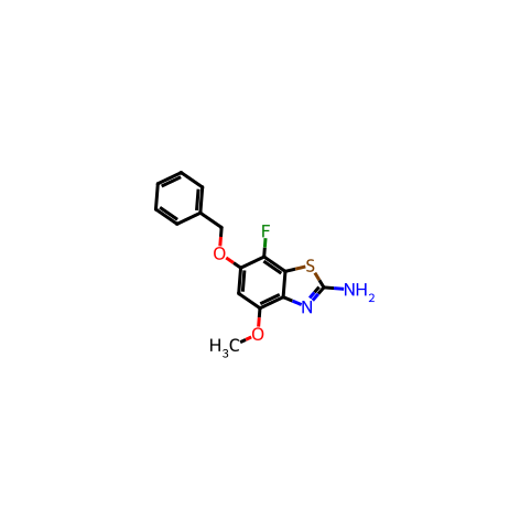 COc1cc(OCc2ccccc2)c(F)c2sc(N)nc12